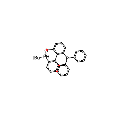 Cc1cccc(P(c2ccccc2)c2ccccc2)c1-c1c(C)cccc1[PH](=O)C(C)(C)C